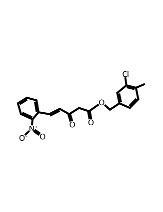 Cc1ccc(COC(=O)CC(=O)C=Cc2ccccc2[N+](=O)[O-])cc1Cl